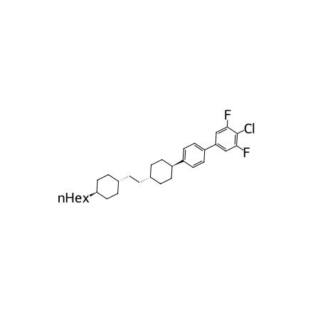 CCCCCC[C@H]1CC[C@H](CC[C@H]2CC[C@H](c3ccc(-c4cc(F)c(Cl)c(F)c4)cc3)CC2)CC1